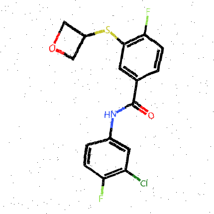 O=C(Nc1ccc(F)c(Cl)c1)c1ccc(F)c(SC2COC2)c1